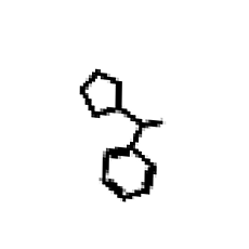 CC(c1ccccc1)C1CCCC1